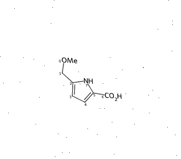 COCc1ccc(C(=O)O)[nH]1